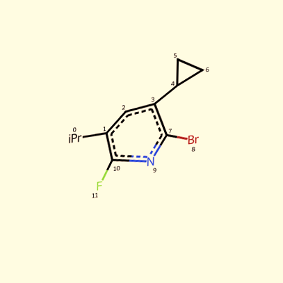 CC(C)c1cc(C2CC2)c(Br)nc1F